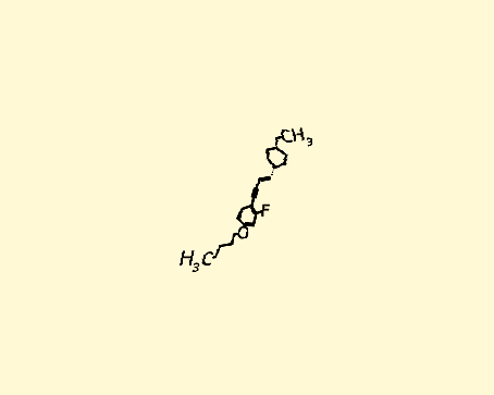 CCCCCOc1ccc(C#CC=C[C@H]2CC[C@H](CC)CC2)c(F)c1